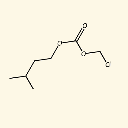 CC(C)CCOC(=O)OCCl